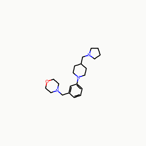 c1cc(CN2CCOCC2)cc(N2CCC(CN3CCCC3)CC2)c1